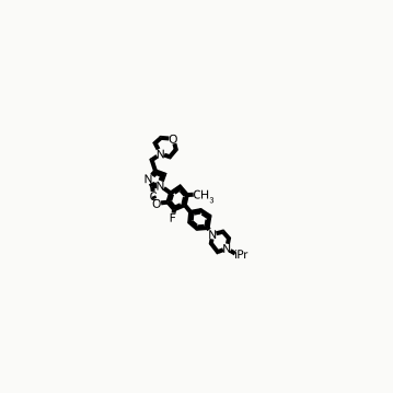 Cc1cc2c(c(F)c1-c1ccc(N3CCN(C(C)C)CC3)cc1)OCc1nc(CN3CCOCC3)cn1-2